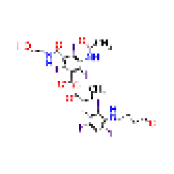 CCC(Cc1c(I)cc(I)c(NCCCC=O)c1I)C(=O)OC(=O)c1c(I)c(NC(C)=O)c(I)c(C(=O)NCCO)c1I